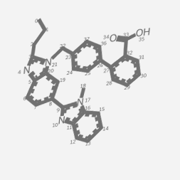 CCCc1nc2ccc(-c3nc4ccccc4n3C)cc2n1Cc1ccc(-c2ccccc2C(=O)O)cc1